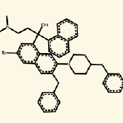 CN(C)CCC(O)(c1cccc2ccccc12)c1cc(Br)cc2cc(Cc3ccccc3)c(N3CCC(Cc4ccccc4)CC3)cc12